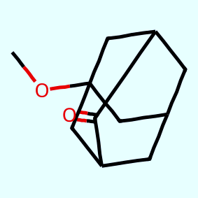 COC12CC3CC(C1)C(=O)C(C3)C2